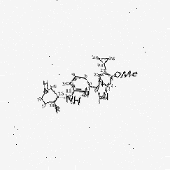 COc1cc2ncc(-c3cccc(N[C@H]4CNCC[C@@H]4F)n3)n2cc1C1CC1